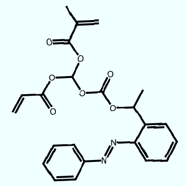 C=CC(=O)OC(OC(=O)OC(C)c1ccccc1N=Nc1ccccc1)OC(=O)C(=C)C